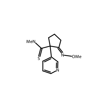 CNC(=S)C1(c2cccnc2)CCCC1=NOC